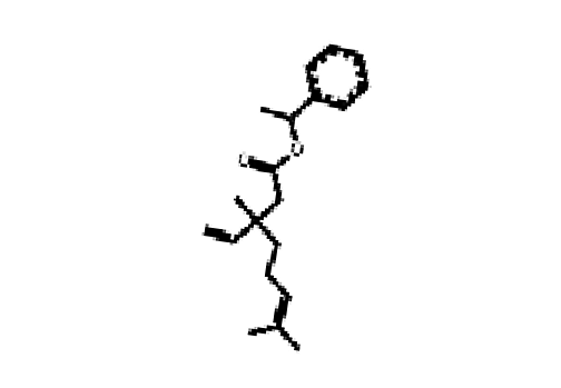 C=CC(C)(CCC=C(C)C)CC(=O)OC(C)c1ccccc1